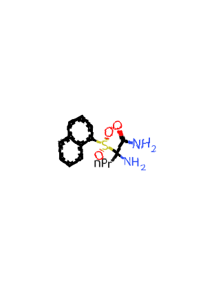 CCCC(N)(C(N)=O)S(=O)(=O)c1cccc2ccccc12